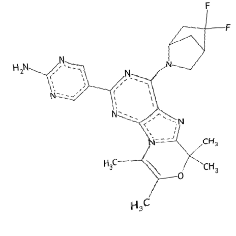 CC1=C(C)n2c(nc3c(N4CC5CC4CC5(F)F)nc(-c4cnc(N)nc4)nc32)C(C)(C)O1